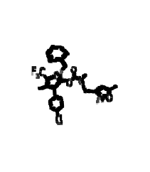 Cc1cc(CN(C)C(=O)Oc2c(-c3ccc(Cl)cc3)c(C)c(C(F)(F)F)n2Cc2ccccc2)no1